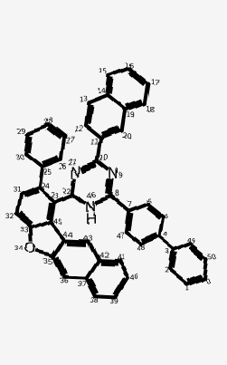 c1ccc(-c2ccc(C3=NC(c4ccc5ccccc5c4)=NC(c4c(-c5ccccc5)ccc5oc6cc7ccccc7cc6c45)N3)cc2)cc1